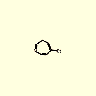 CCC1=CCC=NC=C1